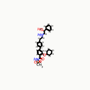 CS(=O)(=O)NC(=O)c1ccc(-c2ccc(CCNC[C@@H](O)c3ccccc3)cc2)cc1OC1CCCCC1